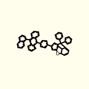 C1=CC2Oc3cc(-c4ccc(-c5c6ccccc6c(-c6cccc7ccccc67)c6ccccc56)cc4)cc4c3C2C(=C1)C4(c1ccccc1)c1ccccc1